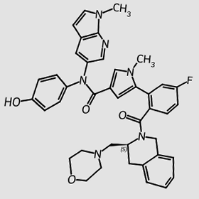 Cn1cc(C(=O)N(c2ccc(O)cc2)c2cnc3c(ccn3C)c2)cc1-c1cc(F)ccc1C(=O)N1Cc2ccccc2C[C@H]1CN1CCOCC1